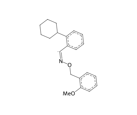 COc1ccccc1CO/N=[C]\c1ccccc1C1CCCCC1